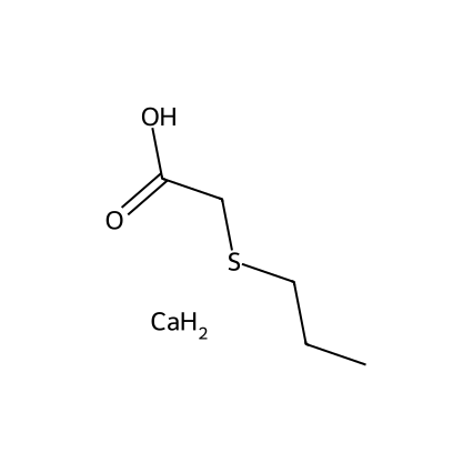 CCCSCC(=O)O.[CaH2]